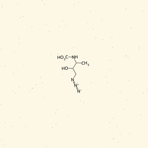 CC(NC(=O)O)C(O)CN=[N+]=[N-]